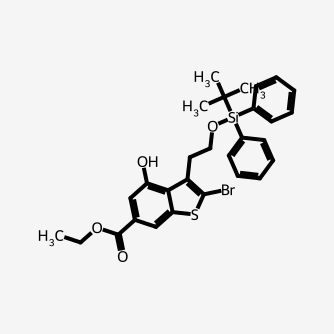 CCOC(=O)c1cc(O)c2c(CCO[Si](c3ccccc3)(c3ccccc3)C(C)(C)C)c(Br)sc2c1